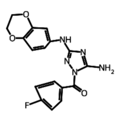 Nc1nc(Nc2ccc3c(c2)OCCO3)nn1C(=O)c1ccc(F)cc1